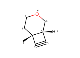 C[C@]12C#C[C@H]1COCC2